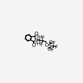 [2H]C([2H])(N1C(=O)c2ccccc2C1=O)C(F)(F)COS(=O)(=O)C(F)(F)F